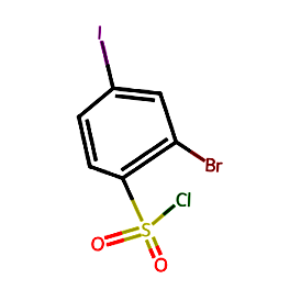 O=S(=O)(Cl)c1ccc(I)cc1Br